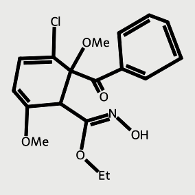 CCOC(=NO)C1C(OC)=CC=C(Cl)C1(OC)C(=O)c1ccccc1